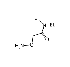 CCN(CC)C(=O)CON